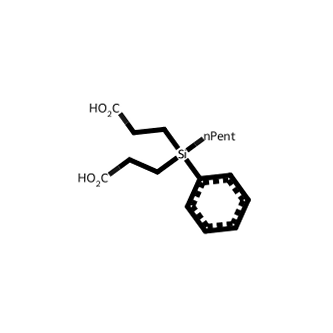 CCCCC[Si](CCC(=O)O)(CCC(=O)O)c1ccccc1